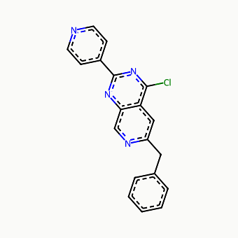 Clc1nc(-c2ccncc2)nc2cnc(Cc3ccccc3)cc12